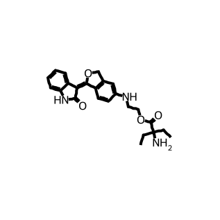 CCC(N)(CC)C(=O)OCCNc1ccc2c(c1)CO/C2=C1/C(=O)Nc2ccccc21